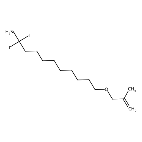 C=C(C)COCCCCCCCCCC([SiH3])(I)I